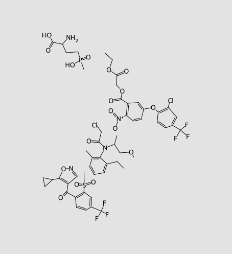 CCOC(=O)COC(=O)c1cc(Oc2ccc(C(F)(F)F)cc2Cl)ccc1[N+](=O)[O-].CCc1cccc(C)c1N(C(=O)CCl)C(C)COC.CP(=O)(O)CCC(N)C(=O)O.CS(=O)(=O)c1cc(C(F)(F)F)ccc1C(=O)c1cnoc1C1CC1